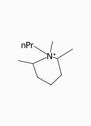 CCC[N+]1(C)C(C)CCCC1C